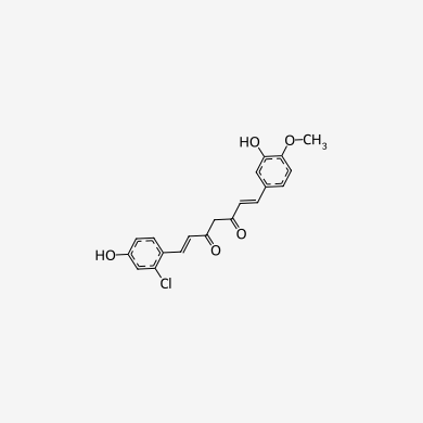 COc1ccc(C=CC(=O)CC(=O)C=Cc2ccc(O)cc2Cl)cc1O